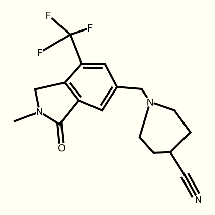 CN1Cc2c(cc(CN3CCC(C#N)CC3)cc2C(F)(F)F)C1=O